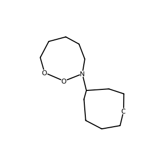 C1CCCC(N2CCCCCOO2)CCC1